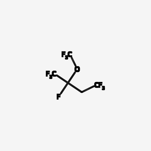 FC(F)(F)CC(F)(OC(F)(F)F)C(F)(F)F